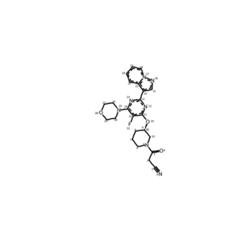 N#CCC(=O)N1CCC[C@@H](Oc2nc(-c3cnn4ccccc34)nc(N3CCOCC3)c2F)C1